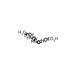 C=CC(=O)N1CCCC(Nc2nc(Nc3ccc4c(c3)CN(C3CCN(C(=O)O)CC3)C4)ncc2F)C1